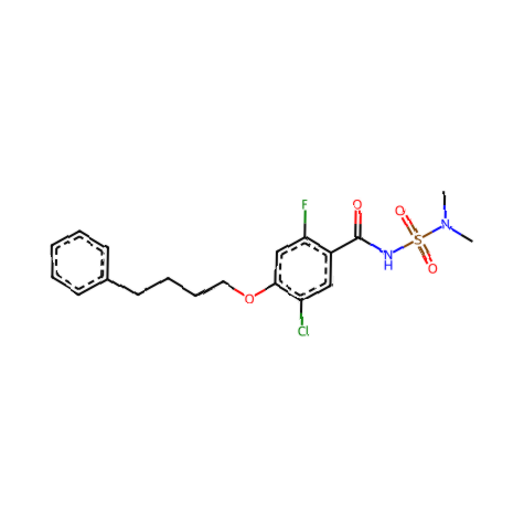 CN(C)S(=O)(=O)NC(=O)c1cc(Cl)c(OCCCCc2ccccc2)cc1F